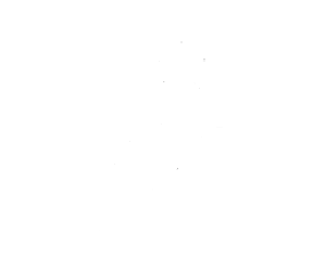 C#Cc1ccc(C(CC2CCCC2)C(=O)O)cc1